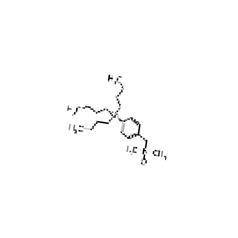 CCC[CH2][Sn]([CH2]CCC)([CH2]CCC)[c]1ccc(C[N+](C)(C)[O-])cc1